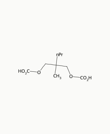 CCCC(C)(COC(=O)O)COC(=O)O